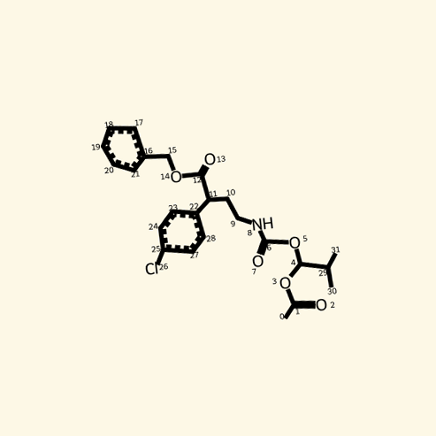 CC(=O)OC(OC(=O)NCCC(C(=O)OCc1ccccc1)c1ccc(Cl)cc1)C(C)C